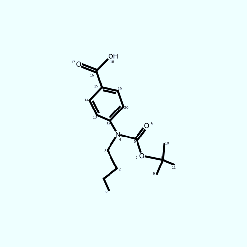 CCCCN(C(=O)OC(C)(C)C)c1ccc(C(=O)O)cc1